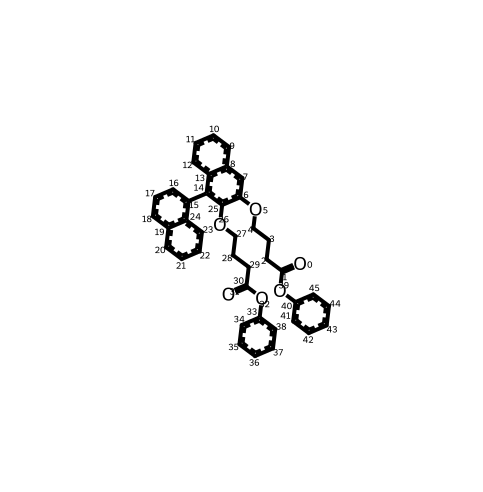 O=C(CCCOc1cc2ccccc2c(-c2cccc3ccccc23)c1OCCCC(=O)Oc1ccccc1)Oc1ccccc1